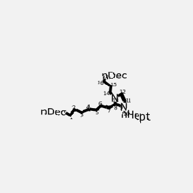 CCCCCCCCCCCCCCCCCC1N(CCCCCCC)C=CN1CCCCCCCCCCCCC